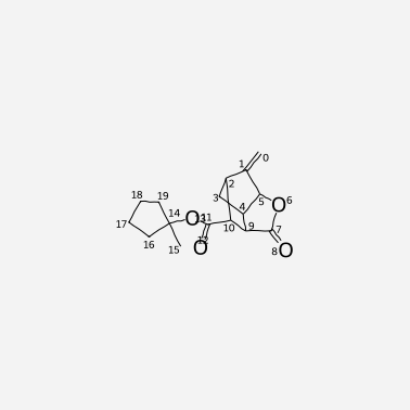 C=C1C2CC3C1OC(=O)C3C2C(=O)OC1(C)CCCC1